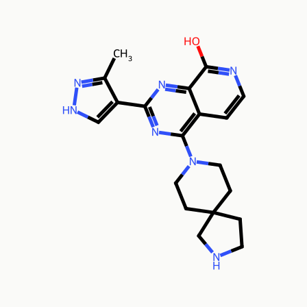 Cc1n[nH]cc1-c1nc(N2CCC3(CCNC3)CC2)c2ccnc(O)c2n1